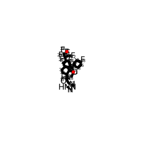 O=C(c1nnn[nH]1)N1CC[C@]2(S(=O)(=O)c3ccc(F)cc3)c3ccc(C(F)(C(F)(F)F)C(F)(F)F)cc3CC[C@H]12